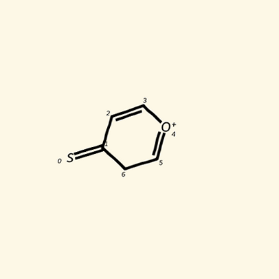 S=C1C=C[O+]=CC1